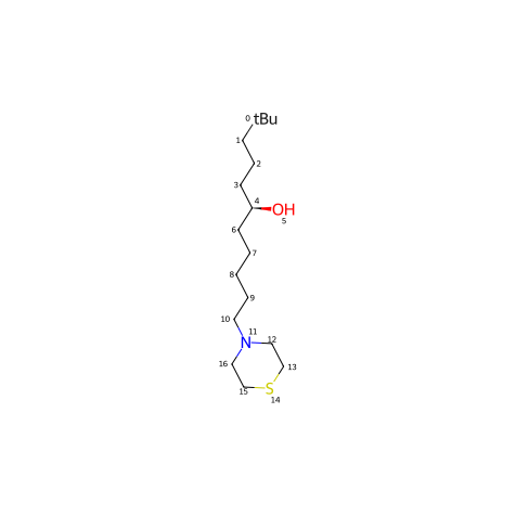 CC(C)(C)CCC[C@@H](O)CCCCCN1CCSCC1